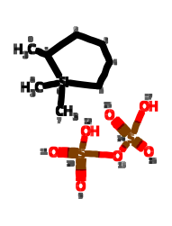 CC1CCCC[Si]1(C)C.O=S(=O)(O)OS(=O)(=O)O